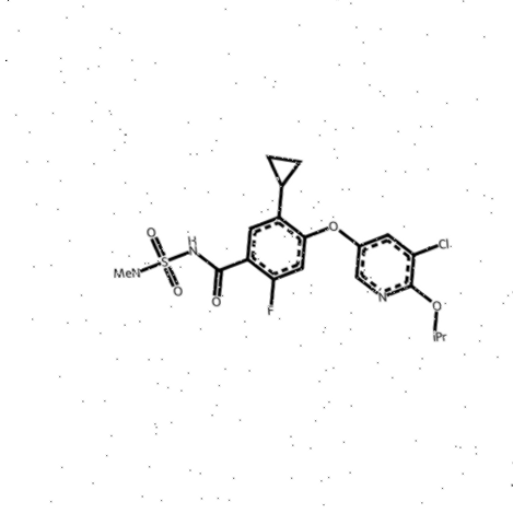 CNS(=O)(=O)NC(=O)c1cc(C2CC2)c(Oc2cnc(OC(C)C)c(Cl)c2)cc1F